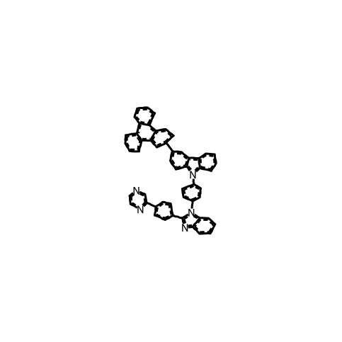 c1ccc2c(c1)nc(-c1ccc(-c3cnccn3)cc1)n2-c1ccc(-n2c3ccccc3c3cc(-c4ccc5c6ccccc6c6ccccc6c5c4)ccc32)cc1